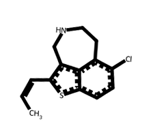 C/C=C\c1sc2ccc(Cl)c3c2c1CNCC3